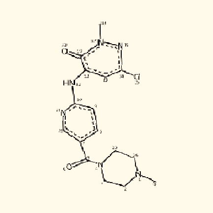 CN1CCN(C(=O)c2ccc(Nc3cc(Cl)nn(C)c3=O)nc2)CC1